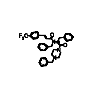 O=C([C@H](Cc1ccccc1)N(Cc1ccccc1)C(=O)C=Cc1ccc(C(F)(F)F)cc1)N1CCN(Cc2ccccc2)CC1